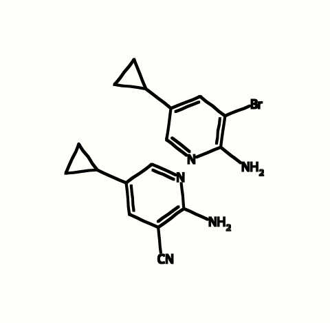 N#Cc1cc(C2CC2)cnc1N.Nc1ncc(C2CC2)cc1Br